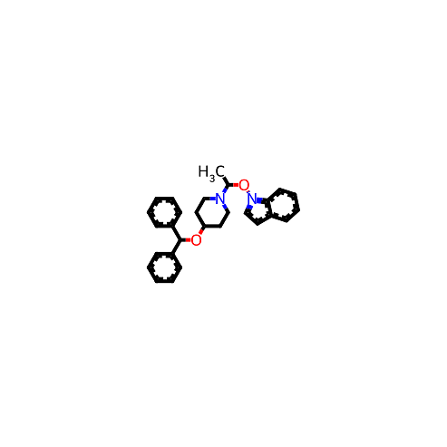 CC(On1ccc2ccccc21)N1CCC(OC(c2ccccc2)c2ccccc2)CC1